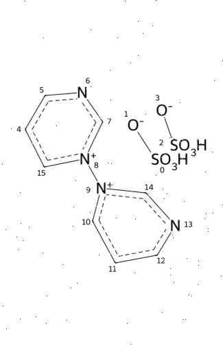 O=S(=O)([O-])O.O=S(=O)([O-])O.c1cnc[n+](-[n+]2cccnc2)c1